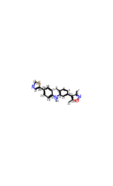 Cc1ccc(-c2c(C)noc2C)cc1N(C)c1ccc(-c2cncs2)cc1